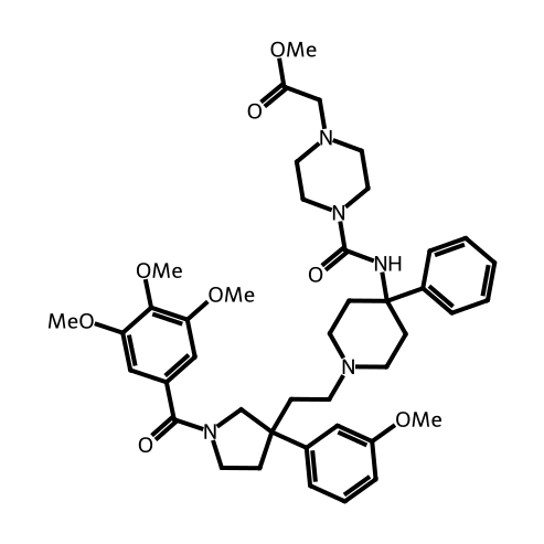 COC(=O)CN1CCN(C(=O)NC2(c3ccccc3)CCN(CCC3(c4cccc(OC)c4)CCN(C(=O)c4cc(OC)c(OC)c(OC)c4)C3)CC2)CC1